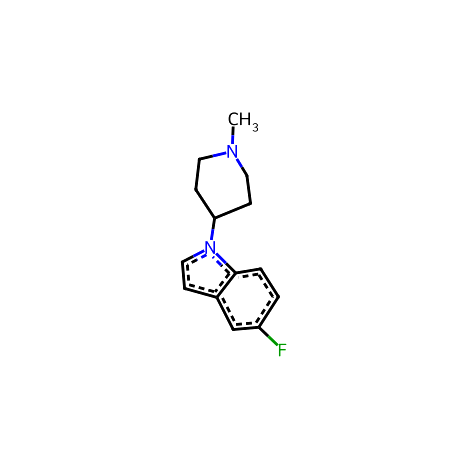 CN1CCC(n2ccc3cc(F)ccc32)CC1